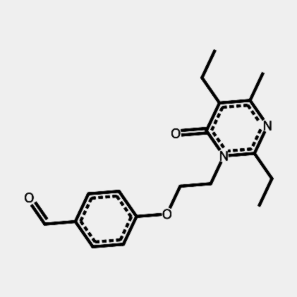 CCc1c(C)nc(CC)n(CCOc2ccc(C=O)cc2)c1=O